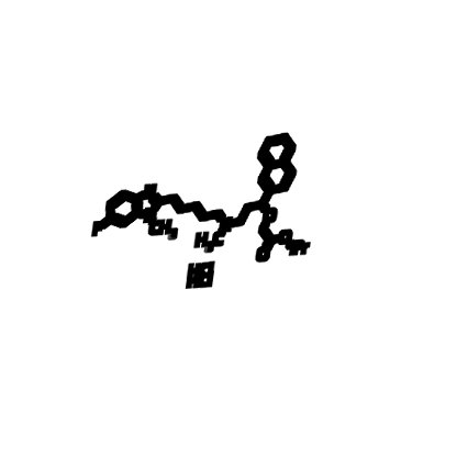 CC(C)OC(=O)COC(CCN(C)CCCCCc1nc2ccc(F)cc2n1C)c1ccc2ccccc2c1.Cl.Cl